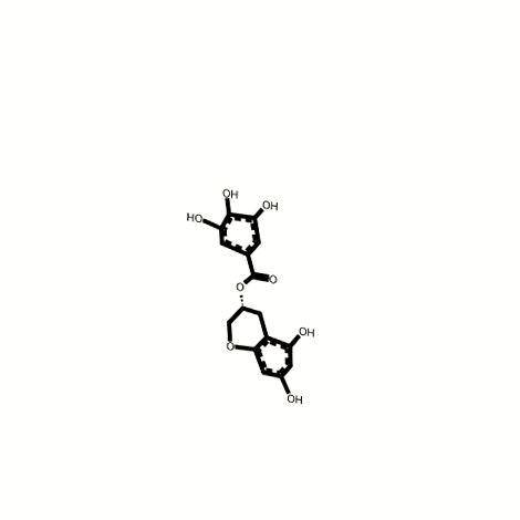 O=C(O[C@H]1COc2cc(O)cc(O)c2C1)c1cc(O)c(O)c(O)c1